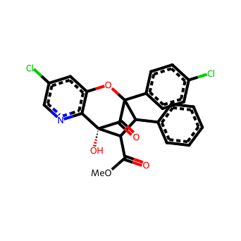 COC(=O)C1C(c2ccccc2)C2(c3ccc(Cl)cc3)Oc3cc(Cl)cnc3[C@@]1(O)C2=O